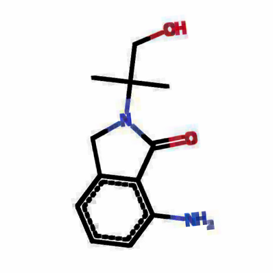 CC(C)(CO)N1Cc2cccc(N)c2C1=O